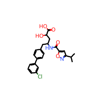 CC(C)c1cc(C(=O)NC(Cc2ccc(-c3cccc(Cl)c3)cc2)CC(O)C(=O)O)on1